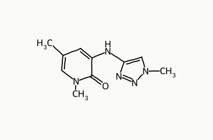 Cc1cc(Nc2cn(C)nn2)c(=O)n(C)c1